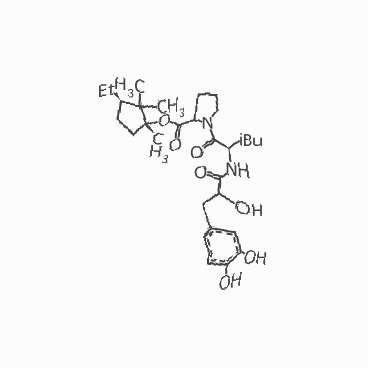 CCC(C)C(NC(=O)C(O)Cc1ccc(O)c(O)c1)C(=O)N1CCCC1C(=O)OC1(C)CC[C@@H](CC)C1(C)C